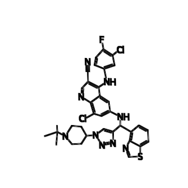 CC(C)(C)N1CCC(n2cc(C(Nc3cc(Cl)c4ncc(C#N)c(Nc5ccc(F)c(Cl)c5)c4c3)c3cccc4scnc34)nn2)CC1